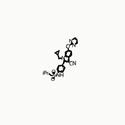 CC(C)CS(=O)(=O)Nc1ccc(-c2c(C#N)c3ccc(Oc4ncccn4)cc3n2CC2CC2)cc1